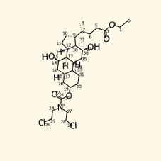 CCOC(=O)CC[C@@H](C)[C@H]1CC[C@H]2[C@@H]3[C@H](O)C[C@@H]4C[C@H](OC(=O)N(CCCl)CCCl)CC[C@]4(C)[C@H]3C[C@H](O)[C@]12C